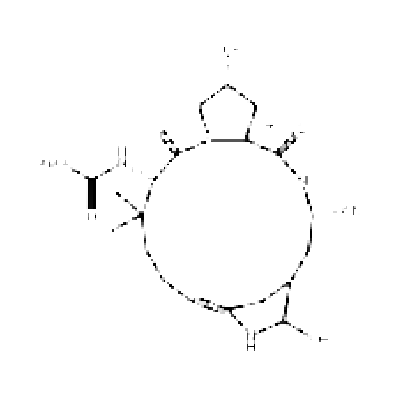 COC(=O)N[C@@H]1C(=O)N2C[C@H](C(F)(F)F)C[C@H]2C(=O)N[C@H](C#N)CC2C/C(=C\CCC1(C)C)NC2O